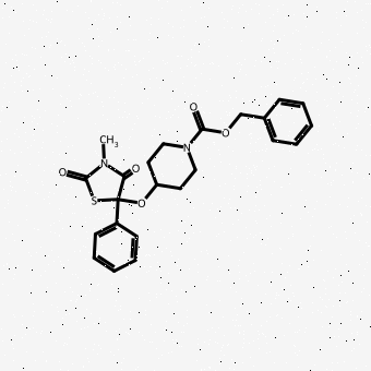 CN1C(=O)SC(OC2CCN(C(=O)OCc3ccccc3)CC2)(c2ccccc2)C1=O